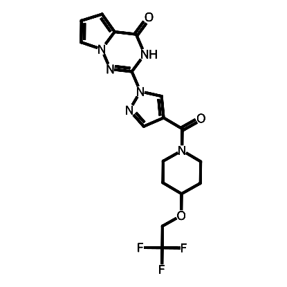 O=C(c1cnn(-c2nn3cccc3c(=O)[nH]2)c1)N1CCC(OCC(F)(F)F)CC1